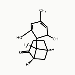 CC1=CC(O)C(C2(C)[C@@H]3CCC(=O)[C@H]2C3)C(O)=C1